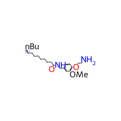 CCCC/C=C\CCCCCCCC(=O)NCc1ccc(OCCN)c(OC)c1